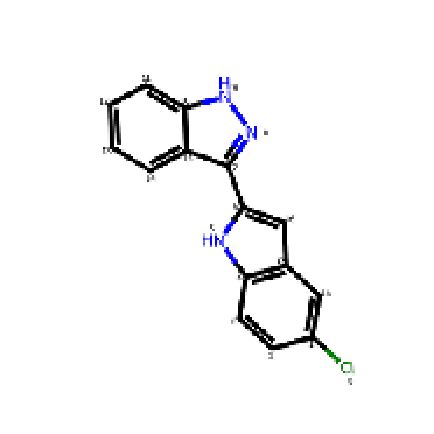 Clc1ccc2[nH]c(-c3n[nH]c4ccccc34)cc2c1